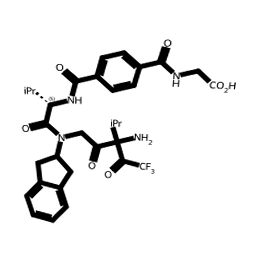 CC(C)[C@H](NC(=O)c1ccc(C(=O)NCC(=O)O)cc1)C(=O)N(CC(=O)C(N)(C(=O)C(F)(F)F)C(C)C)C1Cc2ccccc2C1